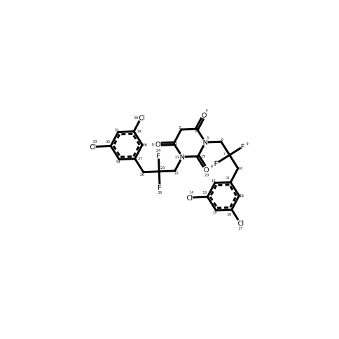 O=C1CC(=O)N(CC(F)(F)Cc2cc(Cl)cc(Cl)c2)C(=O)N1CC(F)(F)Cc1cc(Cl)cc(Cl)c1